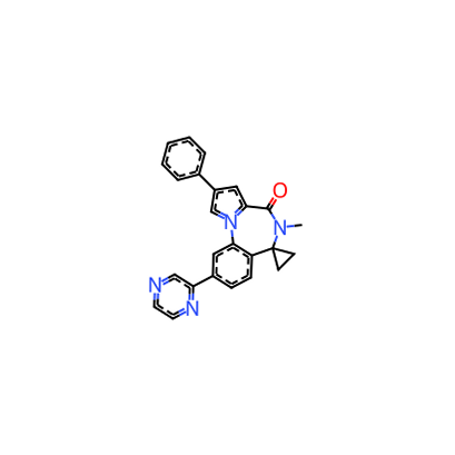 CN1C(=O)c2cc(-c3ccccc3)cn2-c2cc(-c3cnccn3)ccc2C12CC2